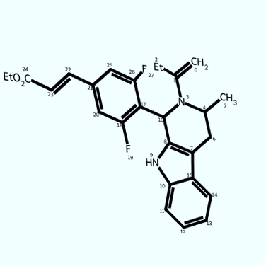 C=C(CC)N1C(C)Cc2c([nH]c3ccccc23)C1c1c(F)cc(/C=C/C(=O)OCC)cc1F